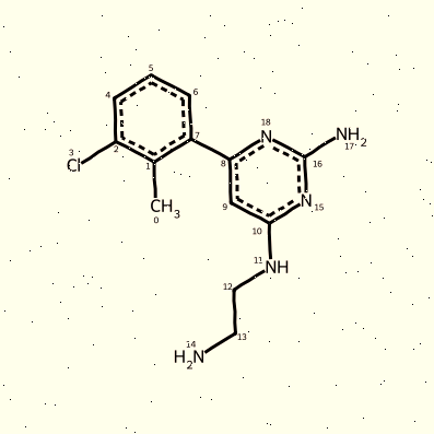 Cc1c(Cl)cccc1-c1cc(NCCN)nc(N)n1